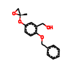 C[C@]1(Oc2ccc(OCc3ccccc3)c(CO)c2)CO1